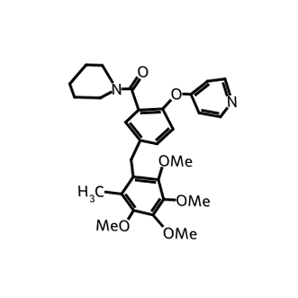 COc1c(C)c(Cc2ccc(Oc3ccncc3)c(C(=O)N3CCCCC3)c2)c(OC)c(OC)c1OC